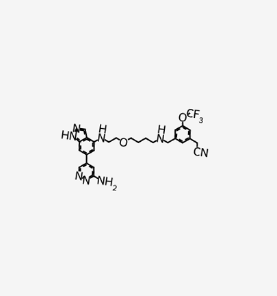 N#CCc1cc(CNCCCCOCCNc2cc(-c3cnnc(N)c3)cc3[nH]ncc23)cc(OC(F)(F)F)c1